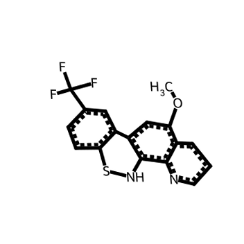 COc1cc2c(c3ncccc13)NSc1ccc(C(F)(F)F)cc1-2